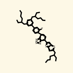 CCCCC(CC)Cc1cc(CC(CC)CCCC)cc(-c2ccc(-c3ccc(-c4cc5sc(CC(CC)CCCC)cc5s4)c4nsnc34)c(F)c2)c1